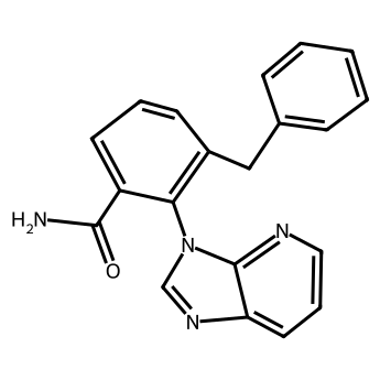 NC(=O)c1cccc(Cc2ccccc2)c1-n1cnc2cccnc21